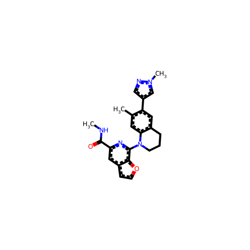 CNC(=O)c1cc2ccoc2c(N2CCCc3cc(-c4cnn(C)c4)c(C)cc32)n1